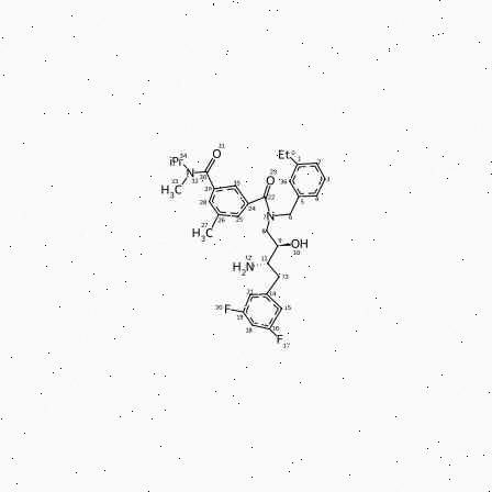 CCc1cccc(CN(C[C@@H](O)[C@@H](N)Cc2cc(F)cc(F)c2)C(=O)c2cc(C)cc(C(=O)N(C)C(C)C)c2)c1